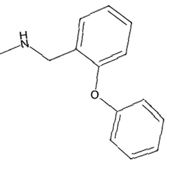 ClNCc1ccccc1Oc1ccccc1